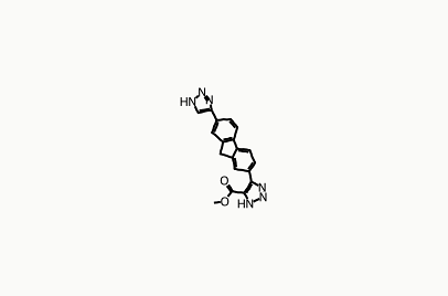 COC(=O)c1[nH]nnc1-c1ccc2c(c1)Cc1cc(-c3c[nH]nn3)ccc1-2